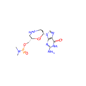 CN(C)[PH](=O)OC[C@@H]1CNC[C@H](n2cnc3c(=O)[nH]c(N)nc32)O1